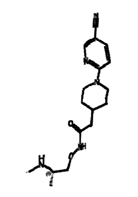 [CH2]N[C@@H](C)CONC(=O)CC1CCN(c2ccc(C#N)cn2)CC1